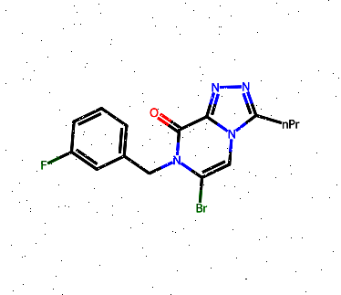 CCCc1nnc2c(=O)n(Cc3cccc(F)c3)c(Br)cn12